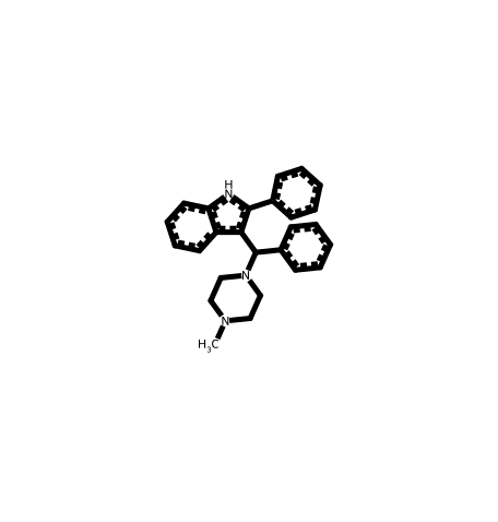 CN1CCN(C(c2ccccc2)c2c(-c3ccccc3)[nH]c3ccccc23)CC1